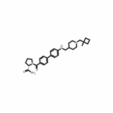 CC1(CN2CCC(CNc3ccc(-c4ccc(C(=O)N5CCC[C@H]5C(N)=O)cc4)cc3)CC2)CCC1